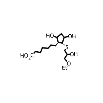 CCOCC(O)CS[C@H]1C(O)CC(O)[C@@H]1CCCCCCC(=O)O